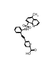 Cc1ccc(S(=O)(=O)Nc2ccccc2C#Cc2ccc(C(=O)O)nc2)c2ncccc12